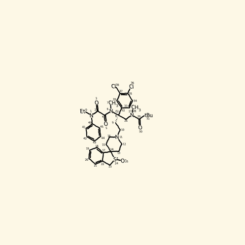 CCN(C(=O)C(=O)N(C)[C@](CCN1CCC2(CC1)c1ccccc1C[S+]2[O-])(CN(C)C(=O)C(C)(C)C)c1ccc(Cl)c(Cl)c1)c1ccccc1